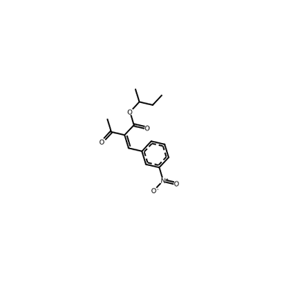 CCC(C)OC(=O)C(=Cc1cccc([N+](=O)[O-])c1)C(C)=O